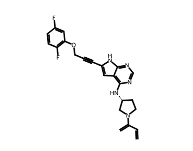 C=CC(=C)N1CC[C@@H](Nc2ncnc3[nH]c(C#CCOc4cc(F)ccc4F)cc23)C1